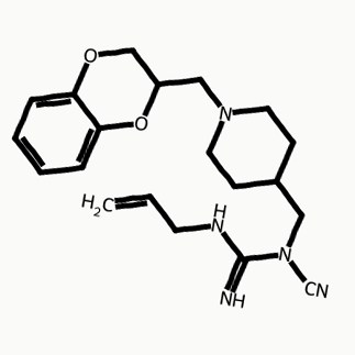 C=CCNC(=N)N(C#N)CC1CCN(CC2COc3ccccc3O2)CC1